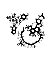 CO[C@H]1/C=C/O[C@@]2(C)Oc3c(C)c(O)c4c(c3C2=O)C2=NC3(CCN(CC(C)C)CC3)NC2=C(NC(=O)/C(C)=C\C=C\[C@H](C)[C@H](O)[C@@H](C)[C@@H](O)[C@@H](C)[C@H](OC(C)=O)[C@@H]1C)C4=O.Cc1ccc(S(=O)(=O)NC(=O)NN2CC3CCCC3C2)cc1.O=C(O)P(=O)(O)O